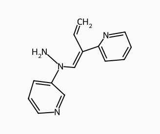 C=C/C(=C\N(N)c1cccnc1)c1ccccn1